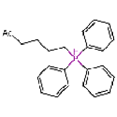 CC(=O)CCCC[PH](c1ccccc1)(c1ccccc1)c1ccccc1